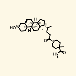 CNC(=O)C1(C)CCN(C(=O)CCC(C)[C@H]2CC[C@H]3[C@@H]4CC=C5C[C@@H](O)CC[C@]5(C)[C@H]4CC[C@]23C)CC1